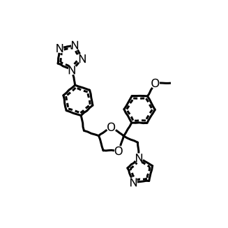 COc1ccc(C2(Cn3ccnc3)OCC(Cc3ccc(-n4cnnn4)cc3)O2)cc1